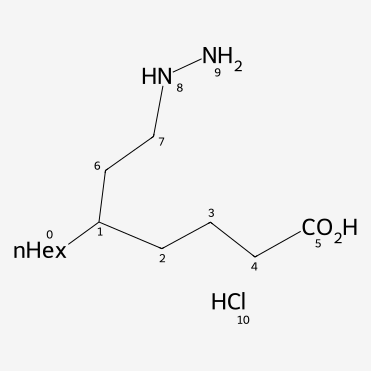 CCCCCCC(CCCC(=O)O)CCNN.Cl